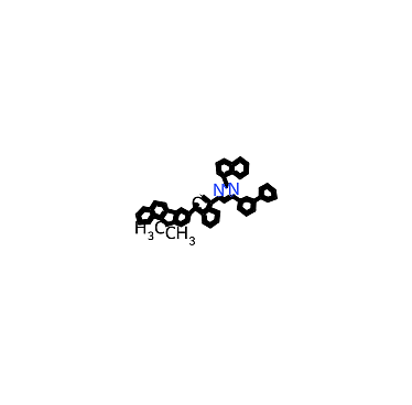 CC1(C)c2ccc(-c3ccc(-c4cc(-c5cccc(-c6ccccc6)c5)nc(-c5cccc6ccccc56)n4)c4ccccc34)cc2-c2ccc3ccccc3c21